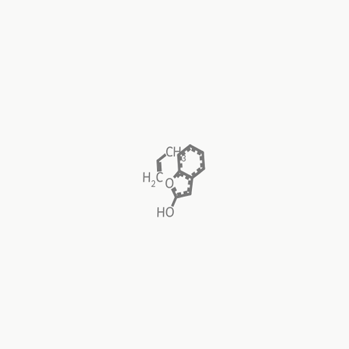 C=CC.Oc1cc2ccccc2o1